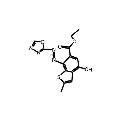 CCOC(=O)c1cc(O)c2cc(C)sc2c1/N=N/c1nnco1